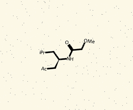 COCC(=O)N[C@@H](CC(C)=O)CC(C)C